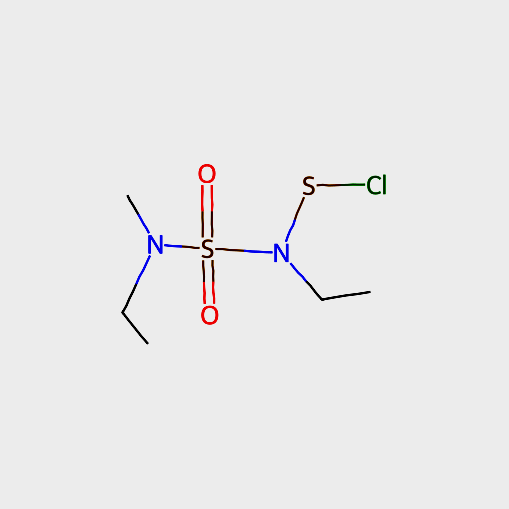 CCN(C)S(=O)(=O)N(CC)SCl